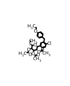 CCOc1ccc(Cc2cc(C3OC(SC)C(OC(C)=O)C(OC(C)=O)C3OC(C)=O)ccc2Cl)cc1